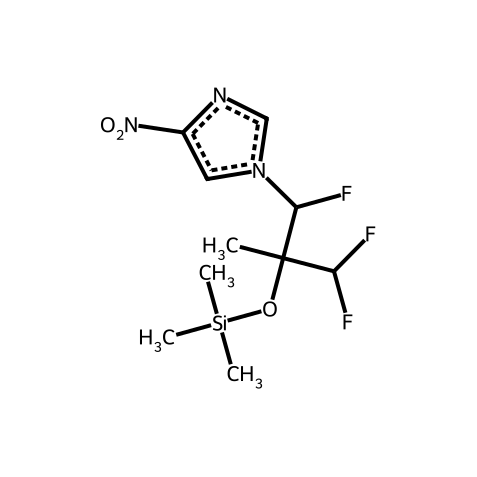 CC(O[Si](C)(C)C)(C(F)F)C(F)n1cnc([N+](=O)[O-])c1